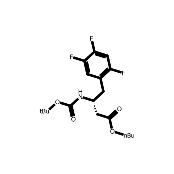 CCCCOC(=O)C[C@@H](Cc1cc(F)c(F)cc1F)NC(=O)OC(C)(C)C